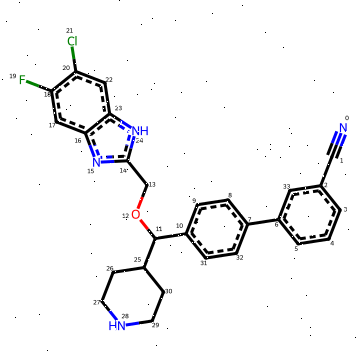 N#Cc1cccc(-c2ccc(C(OCc3nc4cc(F)c(Cl)cc4[nH]3)C3CCNCC3)cc2)c1